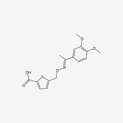 COc1ccc(C(C)=NOCc2ccc(C(=O)O)s2)cc1OC